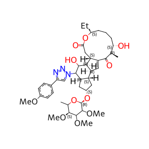 CC[C@H]1CCC[C@H](O)[C@@H](C)C(=O)C2=C[C@H]3[C@@H]4C[C@H](O[C@@H]5OC(C)[C@H](OC)C(OC)C5OC)C[C@H]4C(n4cc(-c5ccc(OC)cc5)nn4)C(O)[C@H]3[C@@H]2CC(=O)O1